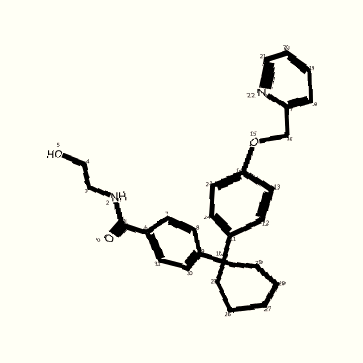 O=C(NCCO)c1ccc(C2(c3ccc(OCc4ccccn4)cc3)CCCCC2)cc1